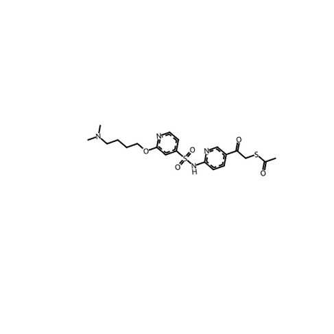 CC(=O)SCC(=O)c1ccc(NS(=O)(=O)c2ccnc(OCCCCN(C)C)c2)nc1